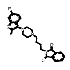 O=C1c2ccccc2C(=O)N1CCCCN1CCN(c2c(F)sc3cc(F)ccc23)CC1